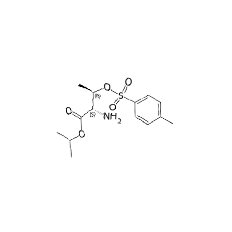 Cc1ccc(S(=O)(=O)O[C@H](C)[C@H](N)C(=O)OC(C)C)cc1